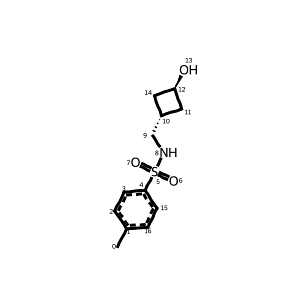 Cc1ccc(S(=O)(=O)NC[C@H]2C[C@H](O)C2)cc1